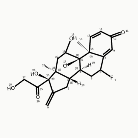 C=C1C[C@H]2[C@@H]3CC(F)C4=CC(=O)C=C[C@]4(C)[C@@]3(Cl)C(O)C[C@]2(C)[C@@]1(O)C(=O)CO